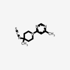 Cc1cc(N2CCC(C)(N=C=S)CC2)ncn1